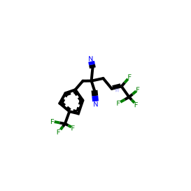 N#CC(C#N)(C/C=C(\F)C(F)(F)F)Cc1ccc(C(F)(F)F)cc1